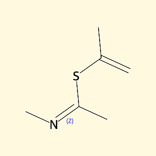 C=C(C)S/C(C)=N\C